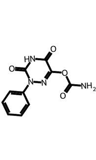 NC(=O)Oc1nn(-c2ccccc2)c(=O)[nH]c1=O